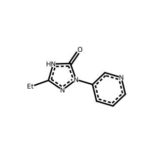 CCc1nn(-c2cccnc2)c(=O)[nH]1